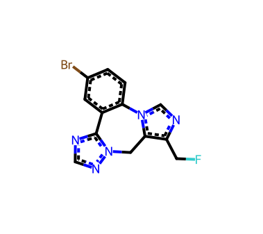 FCc1ncn2c1Cn1ncnc1-c1cc(Br)ccc1-2